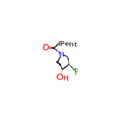 CCCC(C)C(=O)N1C[C@@H](O)[C@H](F)C1